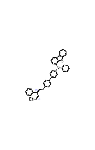 CC/C=C\C(=C/Cc1ccc(-c2ccc(N(c3ccccc3)c3cccc4c3sc3ccccc34)cc2)cc1)c1ccccc1